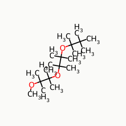 COC(C)(C)C(C)(C)OC(C)(C)C(C)(C)OC(C)(C)C(C)(C)C